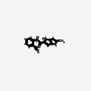 Cc1cc2[nH]c(C(=O)Nc3ccccc3C#N)cc2s1